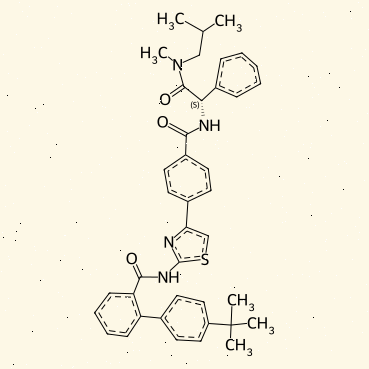 CC(C)CN(C)C(=O)[C@@H](NC(=O)c1ccc(-c2csc(NC(=O)c3ccccc3-c3ccc(C(C)(C)C)cc3)n2)cc1)c1ccccc1